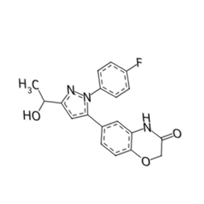 CC(O)c1cc(-c2ccc3c(c2)NC(=O)CO3)n(-c2ccc(F)cc2)n1